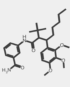 CCCCCC(c1ccc(OC)c(OC)c1OC)C(C(=O)Nc1cccc(C(N)=O)c1)C(C)(C)C